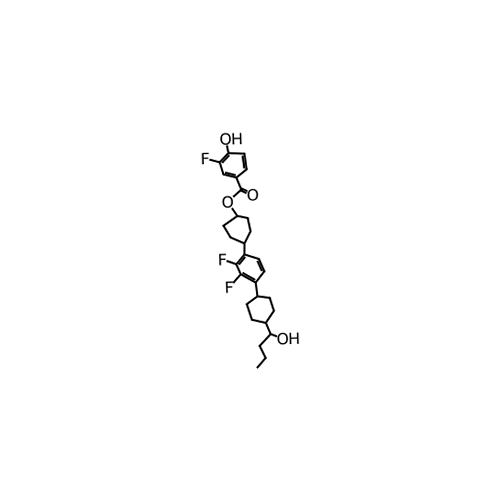 CCCC(O)C1CCC(c2ccc(C3CCC(OC(=O)c4ccc(O)c(F)c4)CC3)c(F)c2F)CC1